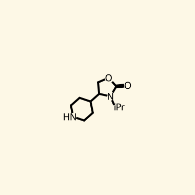 CC(C)N1C(=O)OCC1C1CCNCC1